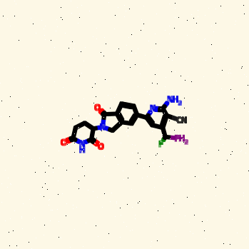 N#Cc1c(C(F)P)cc(-c2ccc3c(c2)CN(C2CCC(=O)NC2=O)C3=O)nc1N